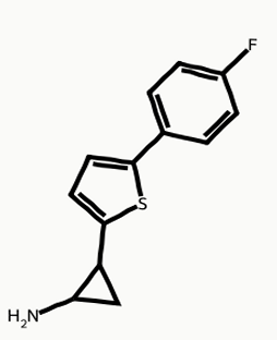 NC1CC1c1ccc(-c2ccc(F)cc2)s1